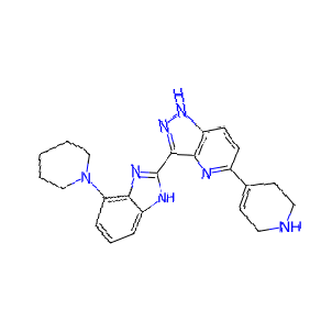 C1=C(c2ccc3[nH]nc(-c4nc5c(N6CCCCC6)cccc5[nH]4)c3n2)CCNC1